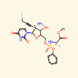 CC(C)OC(=O)[C@H](C)NP(=O)(OCC1O[C@@H](n2ccc(=O)[nH]c2=O)[C@@](N)(C#CCF)C1O)Oc1ccccc1